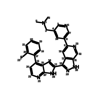 CN(C)Cc1cncc(-c2cc3c(-c4cc5c(-c6ccccc6F)ccnc5[nH]4)n[nH]c3cn2)c1